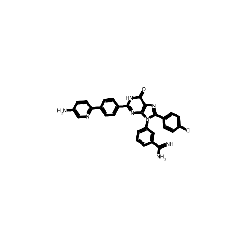 N=C(N)c1cccc(-n2c(-c3ccc(Cl)cc3)nc3c(=O)[nH]c(-c4ccc(-c5ccc(N)cn5)cc4)nc32)c1